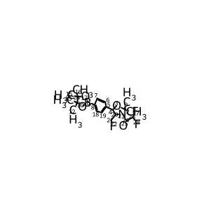 CC1(C)OC(c2ccc(B3OC(C)(C)C(C)(C)O3)cc2)C(CF)N1C(=O)C(F)F